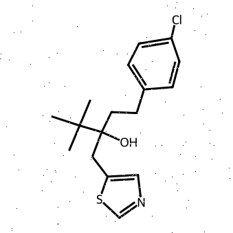 CC(C)(C)C(O)(CCc1ccc(Cl)cc1)Cc1cncs1